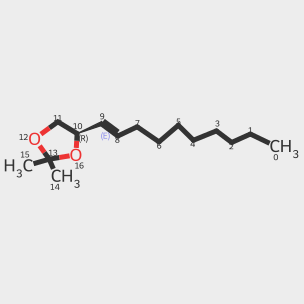 CCCCCCCC/C=C/[C@@H]1COC(C)(C)O1